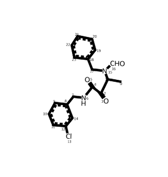 CC(C(=O)C(=O)NCc1cccc(Cl)c1)N(C=O)Cc1ccccc1